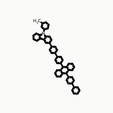 Cc1cccc(-n2c3ccccc3c3cc(-c4ccc(-c5ccc(-c6c7ccccc7c(-c7ccc(-c8ccccc8)cc7)c7ccccc67)cc5)cc4)ccc32)c1